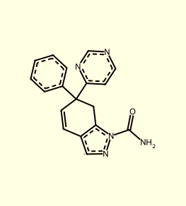 NC(=O)n1n[c]c2c1CC(c1ccccc1)(c1ccncn1)C=C2